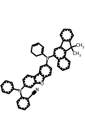 CC1(C)c2ccccc2-c2cc(N(C3=CC=CCC3)c3ccc4oc5cc(N(c6ccccc6)c6ccccc6C#N)ccc5c4c3)c3ccccc3c21